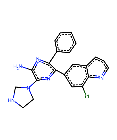 Nc1nc(-c2ccccc2)c(-c2cc(Cl)c3ncccc3c2)nc1N1CCNC1